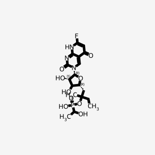 CCC(C)(C[C@H]1O[C@@H](n2cc3c(=O)cc(F)[nH]c3nc2=O)[C@@H](O)C1O)OP(=O)(O)C(C)O